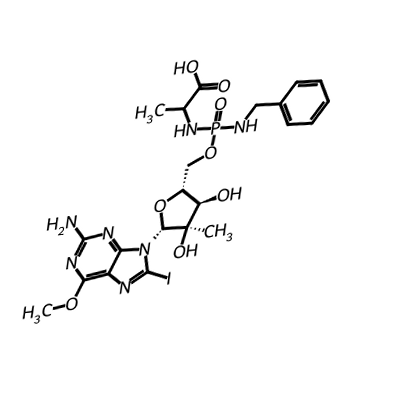 COc1nc(N)nc2c1nc(I)n2[C@@H]1O[C@H](COP(=O)(NCc2ccccc2)NC(C)C(=O)O)[C@@H](O)[C@@]1(C)O